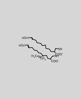 CCCCCCCCC=CCCCCCCCCC(CS)C(=O)[O-].CCCCCCCCC=CCCCCCCCCC(CS)C(=O)[O-].[CH3][Sn+2][CH3]